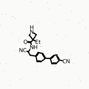 CCC1(C(=O)NC(C#N)Cc2ccc(-c3ccc(C#N)cc3)cc2)CNC1